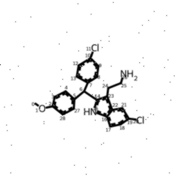 COc1ccc(C(c2ccc(Cl)cc2)c2[nH]c3ccc(Cl)cc3c2CCN)cc1